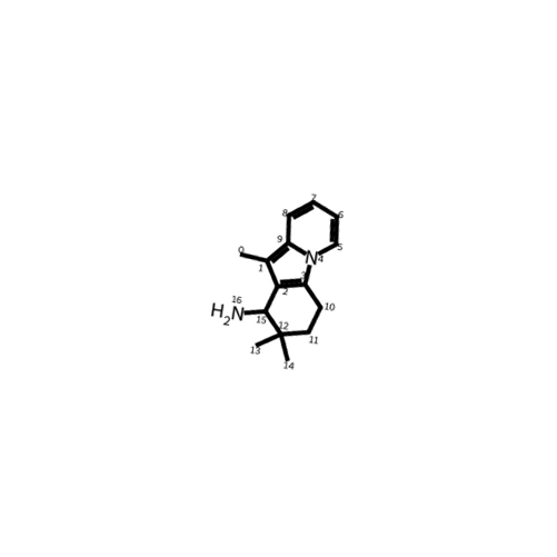 Cc1c2c(n3ccccc13)CCC(C)(C)C2N